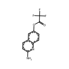 Nc1ccc2cc(OC(=O)C(F)(F)F)ccc2n1